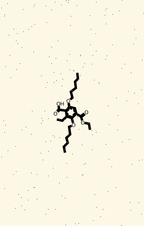 CCCCCCOc1cc(C(=O)OCC)c(OCCCCCC)c(CC)c1C(=O)O